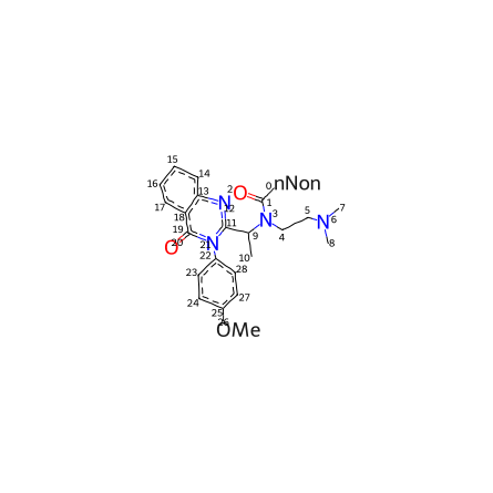 CCCCCCCCCC(=O)N(CCN(C)C)C(C)c1nc2ccccc2c(=O)n1-c1ccc(OC)cc1